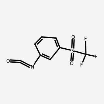 O=C=Nc1cccc(S(=O)(=O)C(F)(F)F)c1